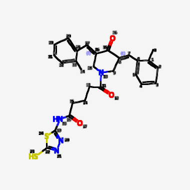 Cc1ccccc1/C=C1\CN(C(=O)CCCC(=O)Nc2nnc(S)s2)C/C(=C\c2ccccc2C)C1=O